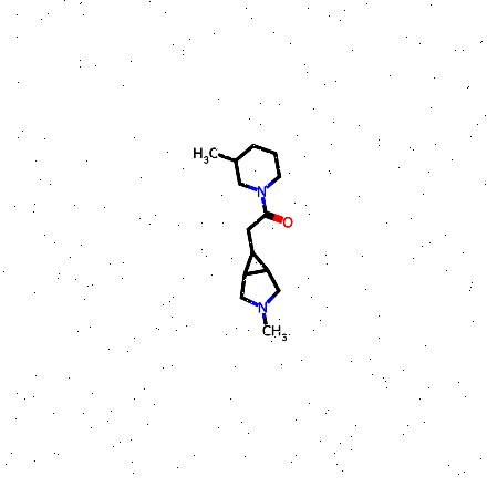 CC1CCCN(C(=O)CC2C3CN(C)CC23)C1